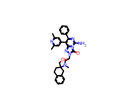 Cc1cc(-c2c(-c3ccccc3)nc(N)n3c(=O)n(CCN(C)C4(CO)CCc5ccccc5C4)nc23)cc(C)n1